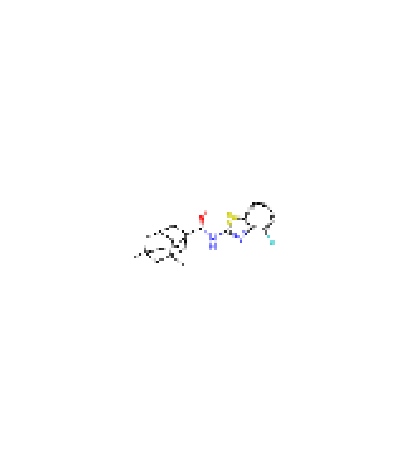 CC12CC3CC(C)(C1)CC(C(=O)Nc1nc4c(F)cccc4s1)(C3)C2